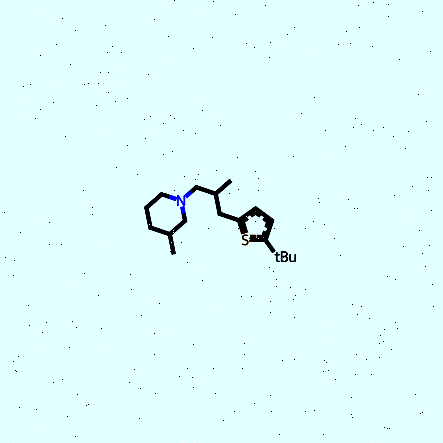 CC1CCCN(CC(C)Cc2ccc(C(C)(C)C)s2)C1